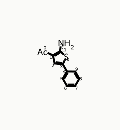 CC(=O)c1cc(-c2ccccc2)sc1N